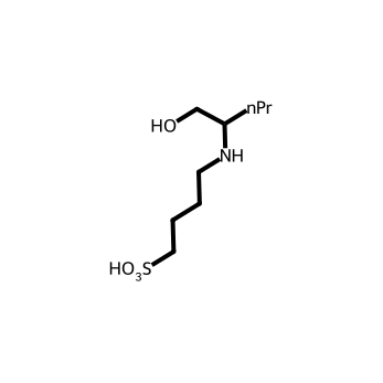 CCCC(CO)NCCCCS(=O)(=O)O